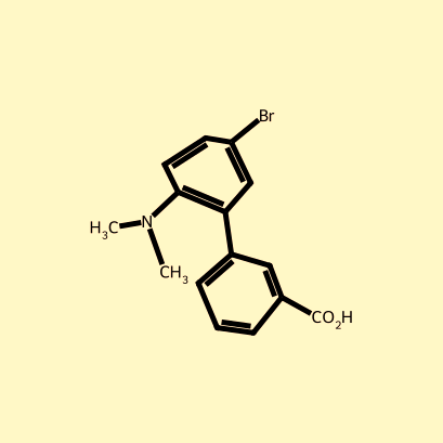 CN(C)c1ccc(Br)cc1-c1cccc(C(=O)O)c1